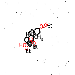 CCOCOC1CC[C@@]2(C)C(CC[C@@H]3[C@H]2CC[C@]2(C)C(O)(C4(OCC)CC4)CC[C@@]32OCOCC)C1